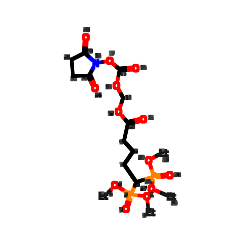 CCOP(=O)(OCC)C(CCCC(=O)OCOC(=O)ON1C(=O)CCC1=O)P(=O)(OCC)OCC